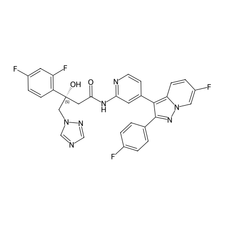 O=C(C[C@@](O)(Cn1cncn1)c1ccc(F)cc1F)Nc1cc(-c2c(-c3ccc(F)cc3)nn3cc(F)ccc23)ccn1